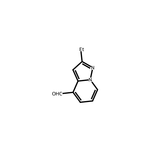 CCc1cc2c(C=O)cccn2n1